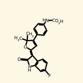 CC1(C)OC(=C2C(=O)Nc3cc(F)ccc32)C=C1c1ccc(NC(=O)O)cc1